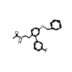 CC(=O)NCCc1ccc(OCc2ccccc2)cc1-c1cccc(F)c1